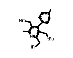 Cc1ccc(-c2c(CC#N)c(C)nc(CC(C)C)c2CC(C)(C)C)cc1